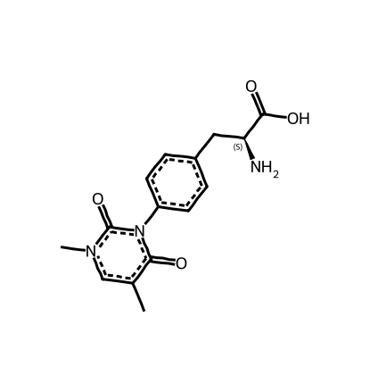 Cc1cn(C)c(=O)n(-c2ccc(C[C@H](N)C(=O)O)cc2)c1=O